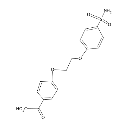 NS(=O)(=O)c1ccc(OCCOc2ccc(C(=O)C(=O)O)cc2)cc1